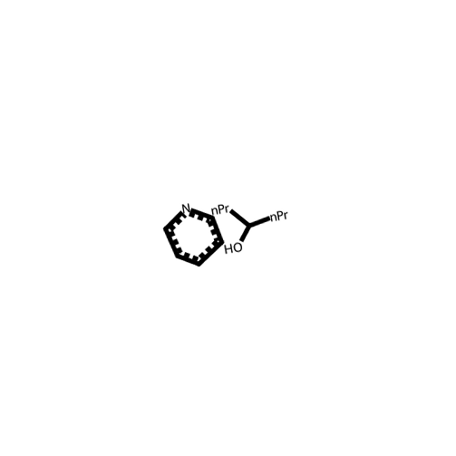 CCCC(O)CCC.c1ccncc1